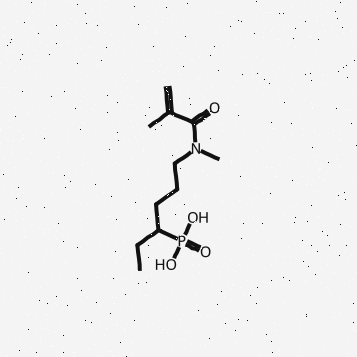 C=C(C)C(=O)N(C)CCCC(CC)P(=O)(O)O